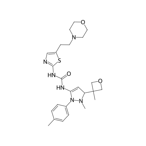 Cc1ccc(N2C(NC(=O)Nc3ncc(CCN4CCOCC4)s3)=CC(C3(C)COC3)N2C)cc1